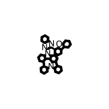 c1ccc2nc(-n3c4cccc5c6ccccc6n6c7ccccc7c7ccc3c(c54)c76)c(-c3cccc4c3oc3ccccc34)nc2c1